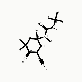 CN(C(=O)OC(C)(C)C)C1(C)CC(C#N)C(=O)C(C)(C)C1